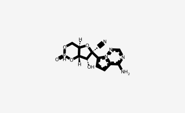 N#C[C@@]1(c2ccc3c(N)ncnn23)O[C@@H]2CO[PH](=O)O[C@H]2[C@H]1O